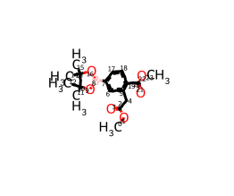 COC(=O)Cc1cc(B2OC(C)(C)C(C)(C)O2)ccc1C(=O)OC